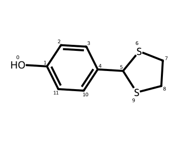 Oc1ccc(C2SCCS2)cc1